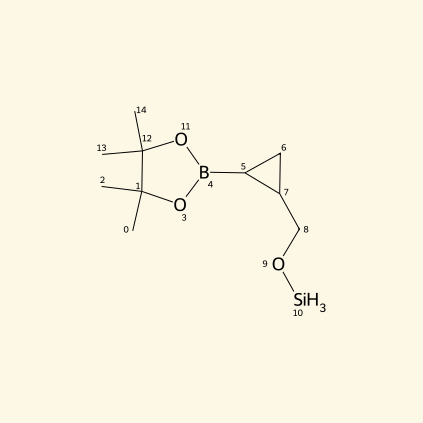 CC1(C)OB(C2CC2CO[SiH3])OC1(C)C